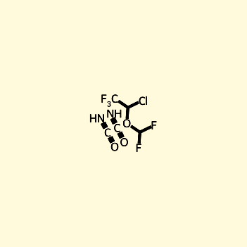 FC(F)OC(Cl)C(F)(F)F.N=C=O.N=C=O